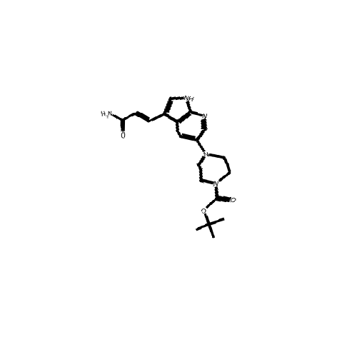 CC(C)(C)OC(=O)N1CCN(c2cnc3[nH]cc(C=CC(N)=O)c3c2)CC1